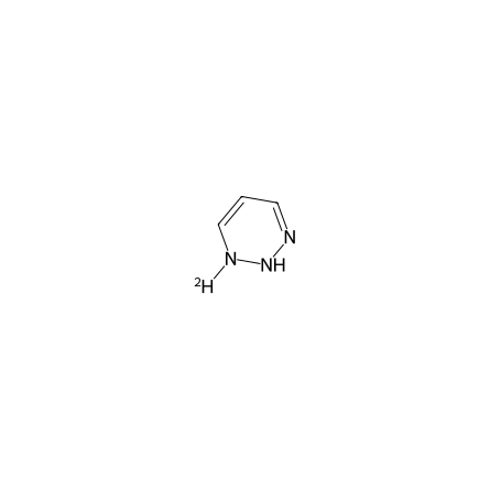 [2H]N1C=CC=NN1